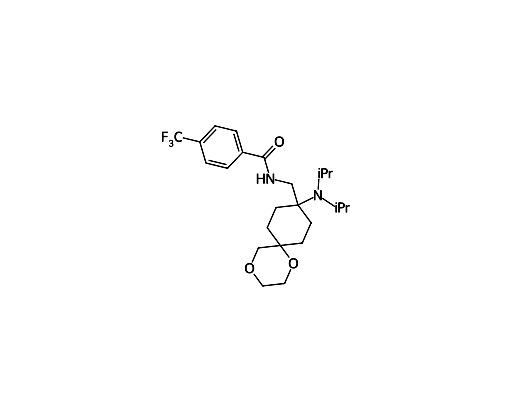 CC(C)N(C(C)C)C1(CNC(=O)c2ccc(C(F)(F)F)cc2)CCC2(CC1)COCCO2